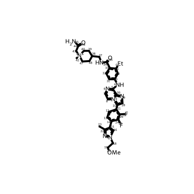 CCc1cc(Nc2nccn3c(-c4ccc(-c5cn(CCOC)nc5C)c(F)c4F)cnc23)ccc1C(=O)NCC1CC[N+](C)(CC(N)=O)CC1